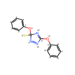 [S]C1(Oc2ccccc2)N=NC(Oc2ccccc2)=N1